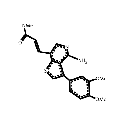 CNC(=O)C=Cc1cnc(N)c2c(-c3ccc(OC)c(OC)c3)csc12